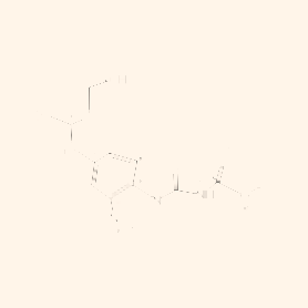 CCOC(C)Sc1ccc(NC(=S)NC(=O)OC)c(N)c1